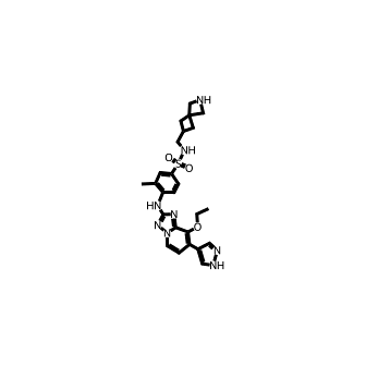 CCOc1c(-c2cn[nH]c2)ccn2nc(Nc3ccc(S(=O)(=O)NCC4CC5(CNC5)C4)cc3C)nc12